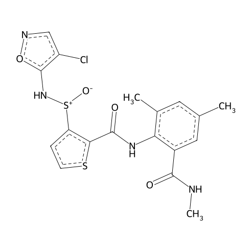 CNC(=O)c1cc(C)cc(C)c1NC(=O)c1sccc1[S+]([O-])Nc1oncc1Cl